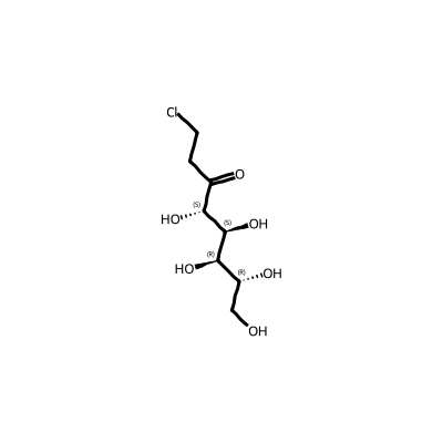 O=C(CCCl)[C@@H](O)[C@@H](O)[C@H](O)[C@H](O)CO